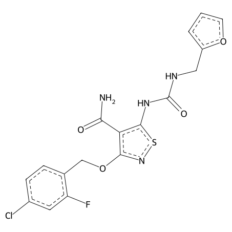 NC(=O)c1c(OCc2ccc(Cl)cc2F)nsc1NC(=O)NCc1ccco1